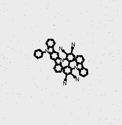 N#Cc1ccc(-c2ccc(C#N)c(C#N)c2-n2c3ccccc3c3cc4c(cc32)c2ccccc2n4-c2ccccc2)c(-n2c3ccccc3c3ccccc32)c1C#N